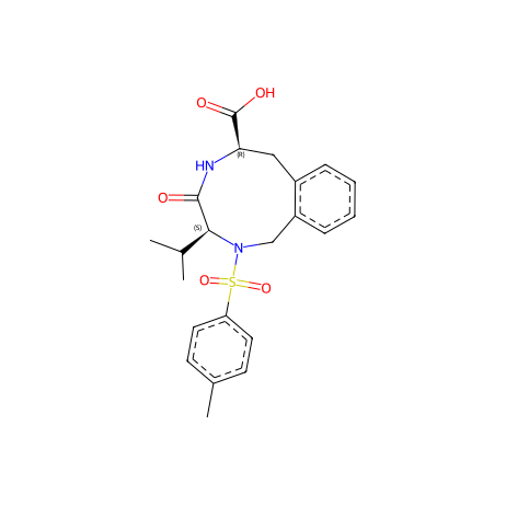 Cc1ccc(S(=O)(=O)N2Cc3ccccc3C[C@H](C(=O)O)NC(=O)[C@@H]2C(C)C)cc1